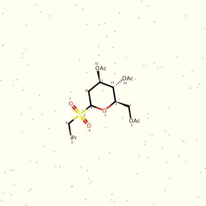 CC(=O)OC[C@H]1OC(S(=O)(=O)CC(C)C)C[C@@H](OC(C)=O)[C@@H]1OC(C)=O